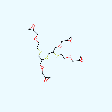 C(CSCC(COCC1CO1)SCC(COCC1CO1)SCCOCC1CO1)OCC1CO1